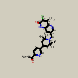 [2H]C1([2H])C=C(c2ccc(C(=O)NC)nc2)CC([2H])([2H])N1Cc1cnc2c(C)c(Cl)c(=O)[nH]c2c1